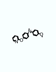 COc1ccc(N(C)c2ccc(Oc3ccccn3)cc2)cc1